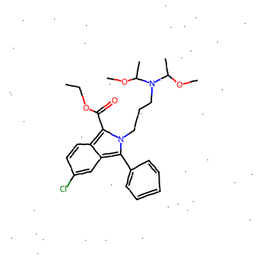 CCOC(=O)c1c2ccc(Cl)cc2c(-c2ccccc2)n1CCCN(C(C)OC)C(C)OC